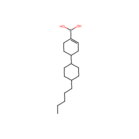 CCCCCC1CCC(C2CC=C(B(O)O)CC2)CC1